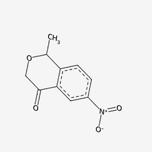 CC1OCC(=O)c2cc([N+](=O)[O-])ccc21